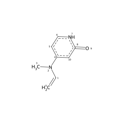 C=CN(C)c1cc[nH]c(=O)c1